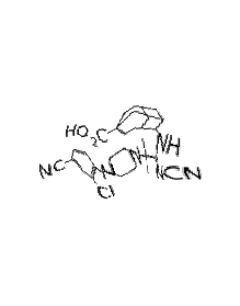 CC(C)(/C(=N/C#N)NC1C2CC3CC1CC(C(=O)O)(C3)C2)N1CCN(c2ccc(C#N)cc2Cl)CC1